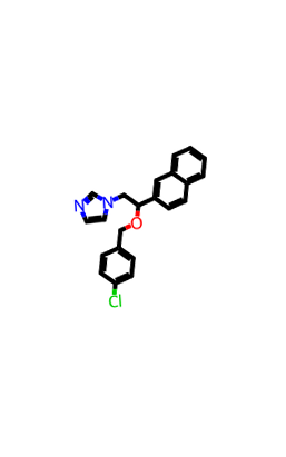 Clc1ccc(COC(Cn2ccnc2)c2ccc3ccccc3c2)cc1